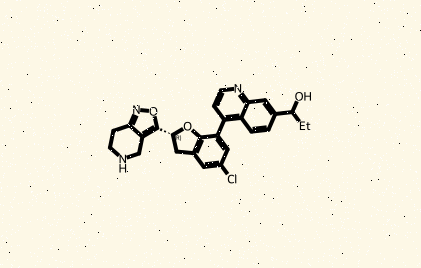 CCC(O)c1ccc2c(-c3cc(Cl)cc4c3O[C@@H](c3onc5c3CNCC5)C4)ccnc2c1